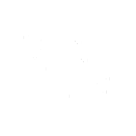 COC(=O)c1cc(N)c(N[C@H]2C[C@@H](C)CC(C)(C)C2)cc1F